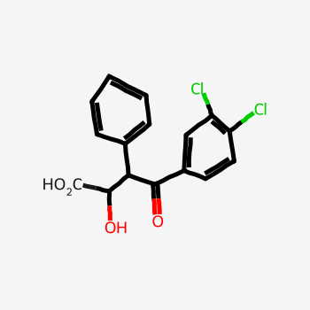 O=C(O)C(O)C(C(=O)c1ccc(Cl)c(Cl)c1)c1ccccc1